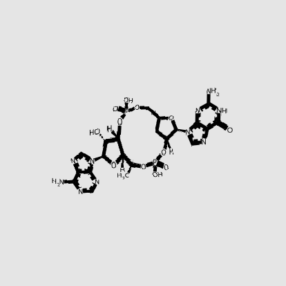 C[C@@H]1OP(=O)(O)O[C@@H]2C[C@@H](COP(=O)(O)O[C@H]3[C@@H](O)[C@H](n4cnc5c(N)ncnc54)O[C@H]31)O[C@H]2n1cnc2c(=O)[nH]c(N)nc21